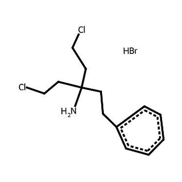 Br.NC(CCCl)(CCCl)CCc1ccccc1